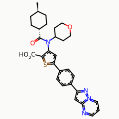 C[C@H]1CC[C@H](C(=O)N(c2cc(-c3ccc(-c4cc5ncccn5n4)cc3)sc2C(=O)O)C2CCOCC2)CC1